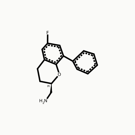 NC[C@H]1CCc2cc(F)cc(-c3ccccc3)c2O1